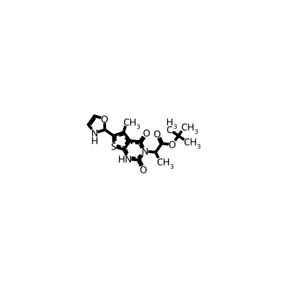 Cc1c(C2NC=CO2)sc2[nH]c(=O)n(C(C)C(=O)OC(C)(C)C)c(=O)c12